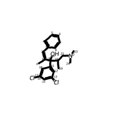 CC(=Cc1ccccc1)C(O)(c1cc(Cl)cc(Cl)c1)C(C)CN(C)C